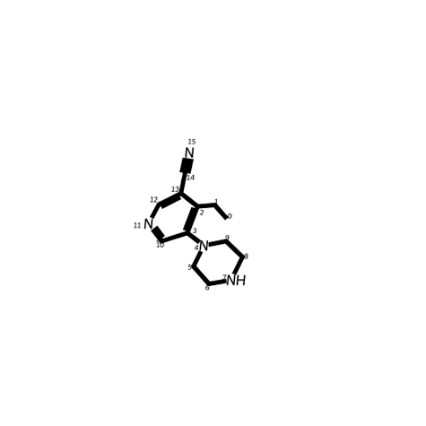 CCc1c(N2CCNCC2)[c]ncc1C#N